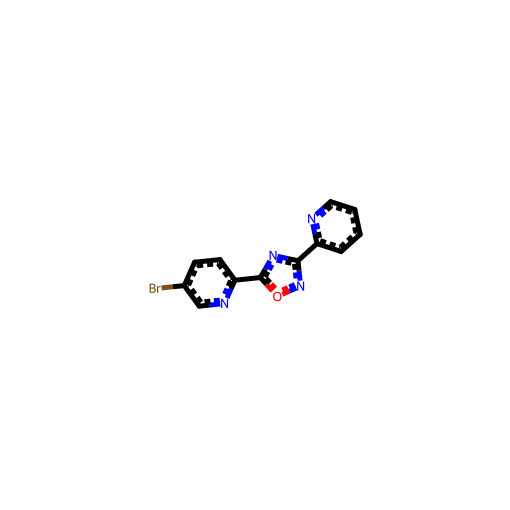 Brc1ccc(-c2nc(-c3ccccn3)no2)nc1